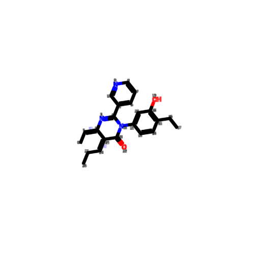 C/C=c1/nc(-c2cccnc2)n(-c2ccc(CC)c(O)c2)c(=O)/c1=C/CC